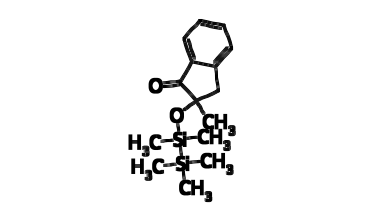 CC1(O[Si](C)(C)[Si](C)(C)C)Cc2ccccc2C1=O